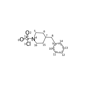 O=S(=O)(Cl)N1CCC(Cc2ccccc2)CC1